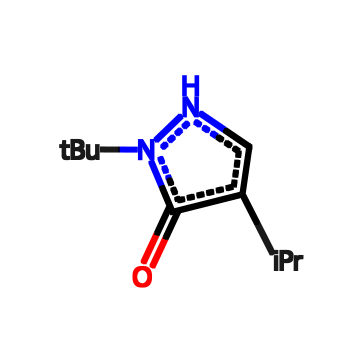 CC(C)c1c[nH]n(C(C)(C)C)c1=O